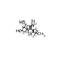 CC1(C)CCC2=C1CCC(C1(C)CCC(O)CC1CO)C2CN